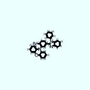 Brc1ccc(-c2nc3ccccc3n2-c2ccccc2)cc1N1c2ccccc2Oc2ccccc21